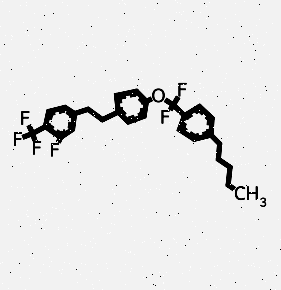 CCCCCc1ccc(C(F)(F)Oc2ccc(CCc3ccc(C(F)(F)F)c(F)c3)cc2)cc1